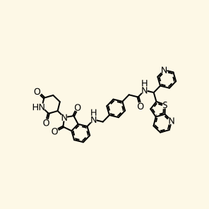 O=C1CCC(N2C(=O)c3cccc(NCc4ccc(CC(=O)NC(c5cccnc5)c5cc6cccnc6s5)cc4)c3C2=O)C(=O)N1